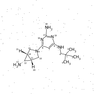 CC(C)(C)CNc1cc(N2C[C@@H]3[C@H](N)[C@@H]3C2)nc(N)n1